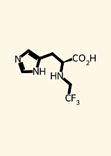 O=C(O)[C@H](Cc1cnc[nH]1)NCC(F)(F)F